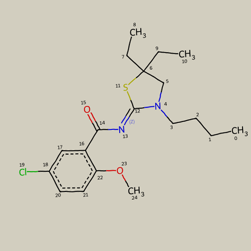 CCCCN1CC(CC)(CC)S/C1=N\C(=O)c1cc(Cl)ccc1OC